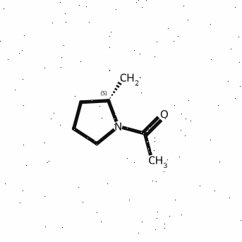 [CH2][C@H]1CCCN1C(C)=O